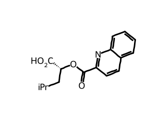 CC(C)C[C@@H](OC(=O)c1ccc2ccccc2n1)C(=O)O